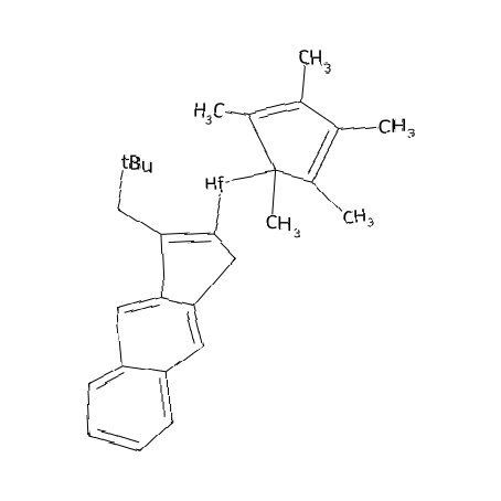 CC1=C(C)[C](C)([Hf][C]2=C(CC(C)(C)C)c3cc4ccccc4cc3C2)C(C)=C1C